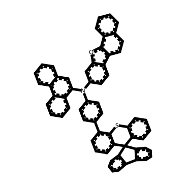 c1ccc2c(c1)Sc1c(-c3ccc(N(c4ccc5c(c4)oc4c6ccccc6ccc54)c4cc5ccccc5c5ccccc45)cc3)cccc1C21c2ccccc2-c2ccccc21